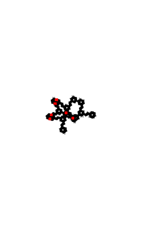 C(=C\c1cc(/C=C/c2ccccc2)cc(C23CC4CC(C2)CC(C25CC6(c7cc(/C=C/c8ccccc8)cc(/C=C/c8ccccc8)c7)CC(c7cc(/C=C/c8ccccc8)cc(/C=C/c8ccccc8)c7)(CC(c7cc(/C=C/c8ccccc8)cc(/C=C/c8ccccc8)c7)(C6)C2)C5)(C4)C3)c1)/c1ccccc1